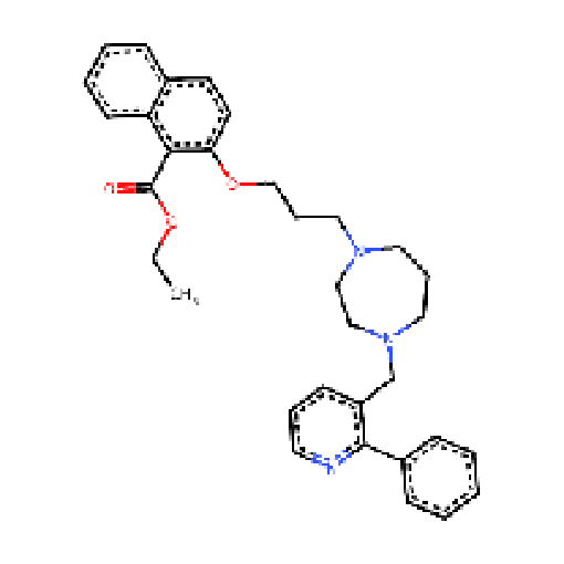 CCOC(=O)c1c(OCCCN2CCCN(Cc3cccnc3-c3ccccc3)CC2)ccc2ccccc12